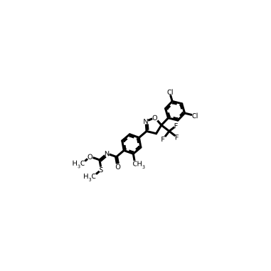 COC(=NC(=O)c1ccc(C2=NOC(c3cc(Cl)cc(Cl)c3)(C(F)(F)F)C2)cc1C)SC